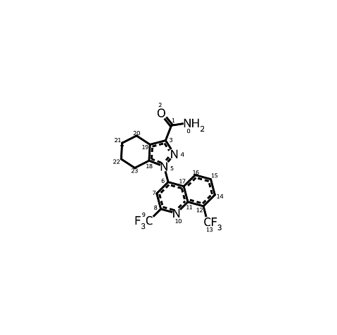 NC(=O)c1nn(-c2cc(C(F)(F)F)nc3c(C(F)(F)F)cccc23)c2c1C[C]CC2